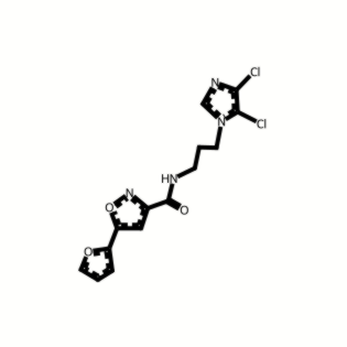 O=C(NCCCn1cnc(Cl)c1Cl)c1cc(-c2ccco2)on1